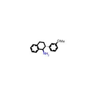 COc1cccc([C@H]2CCc3ccccc3[C]2N)c1